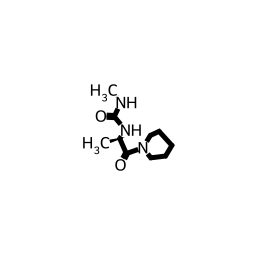 CNC(=O)N[C@H](C)C(=O)N1CCCCC1